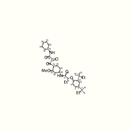 CCC(Oc1ccc(C(C)(C)CC)cc1C(C)(C)CC)C(=O)Nc1ccc(C(=O)C(Cl)C(=O)Nc2ccccc2)c(OC)c1